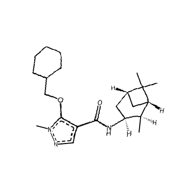 C[C@H]1[C@@H](NC(=O)c2cnn(C)c2OCC2CCCCC2)C[C@H]2C[C@@H]1C2(C)C